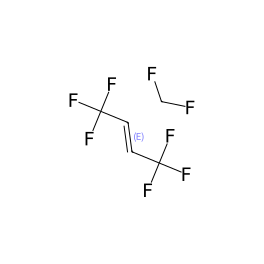 FC(F)(F)/C=C/C(F)(F)F.FCF